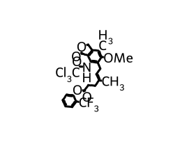 COc1c(C)c2c(c(NC(=O)C(Cl)(Cl)Cl)c1C/C=C(\C)CCC(=O)Oc1ccccc1C(F)(F)F)C(=O)OC2